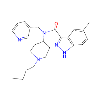 CCCCN1CCC(N(Cc2cccnc2)C(=O)c2n[nH]c3ccc(C)cc23)CC1